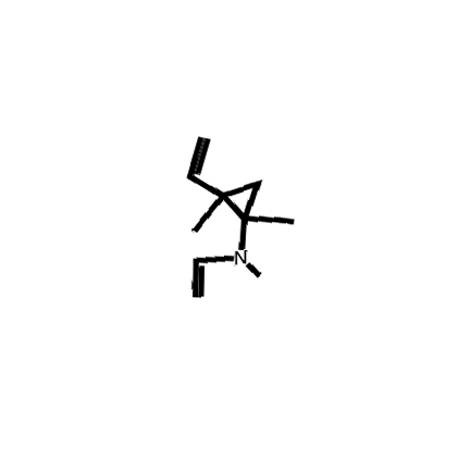 C=CN(C)C1(C)CC1(C)C=C